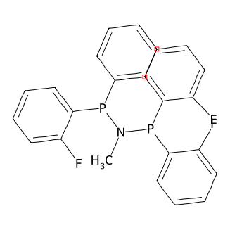 CN(P(c1ccccc1)c1ccccc1F)P(c1ccccc1F)c1ccccc1F